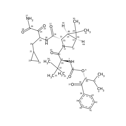 CC(C)[C@@H](OC(=O)N[C@H](C(=O)N1C[C@H]2[C@@H]([C@H]1C(=O)NC(CC1CC1)C(=O)C(N)=O)C2(C)C)C(C)(C)C)C(=O)c1ccccc1